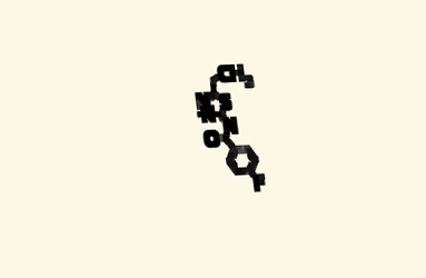 CCC1=N[N]C(=NC(=O)c2ccc(F)cc2)S1